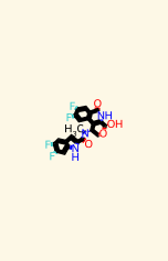 CN(C(=O)c1cc2cc(F)c(F)cc2[nH]1)[C@H]1CO[C@@H](O)c2[nH]c(=O)c3cc(F)c(F)cc3c21